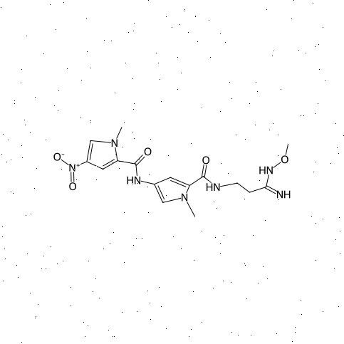 CONC(=N)CCNC(=O)c1cc(NC(=O)c2cc([N+](=O)[O-])cn2C)cn1C